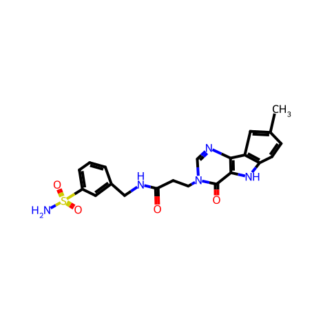 Cc1ccc2[nH]c3c(=O)n(CCC(=O)NCc4cccc(S(N)(=O)=O)c4)cnc3c2c1